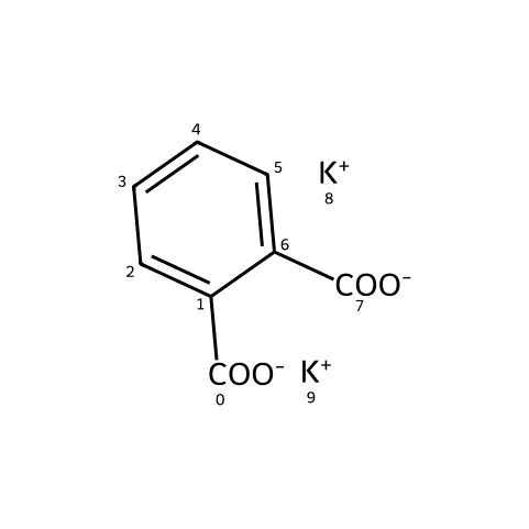 O=C([O-])c1ccccc1C(=O)[O-].[K+].[K+]